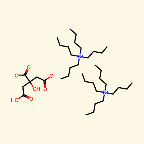 CCCC[N+](CCCC)(CCCC)CCCC.CCCC[N+](CCCC)(CCCC)CCCC.O=C([O-])CC(O)(CC(=O)O)C(=O)[O-]